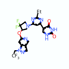 CCc1nc(-c2c[nH]c(=O)[nH]c2=O)cc(N2CC(Oc3cc4c(cn3)cnn4CC(F)(F)F)C(F)(F)C2)n1